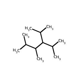 CC(C)C(C)C(C(C)C)C(C)C